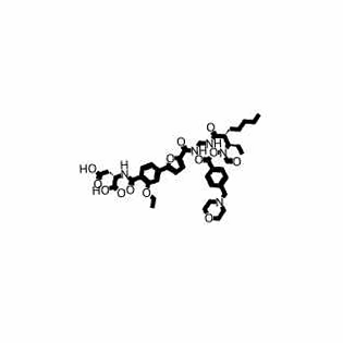 CCCCC[C@@H](C(=O)NCNC(=O)c1ccc(-c2ccc(C(=O)N[C@@H](CC(=O)O)C(=O)O)c(OCC)c2)o1)[C@@H](CC)N(C=O)OC(=O)c1ccc(CN2CCOCC2)cc1